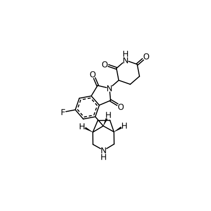 O=C1CCC(N2C(=O)c3cc(F)cc([C@@H]4[C@@H]5CC[C@H]4CNC5)c3C2=O)C(=O)N1